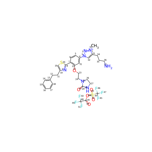 C[n+]1nn(-c2ccc(-c3nc(CCc4ccccc4)cs3)c(OCCN3CCNC3=O)c2)cc1CCCN.O=C(OS(=O)(=O)C(F)(F)F)C(F)(F)F